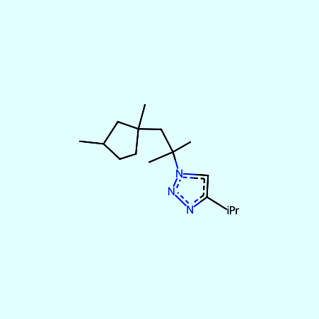 CC1CCC(C)(CC(C)(C)n2cc(C(C)C)nn2)C1